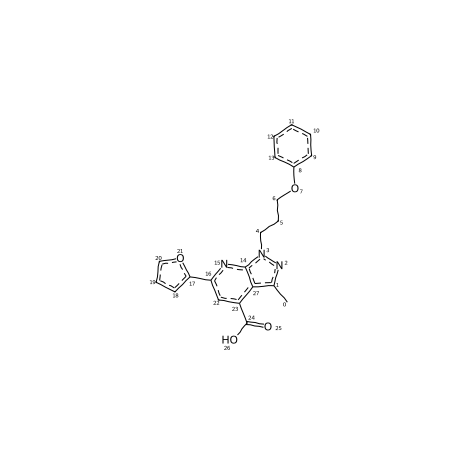 Cc1nn(CCCOc2ccccc2)c2nc(-c3ccco3)cc(C(=O)O)c12